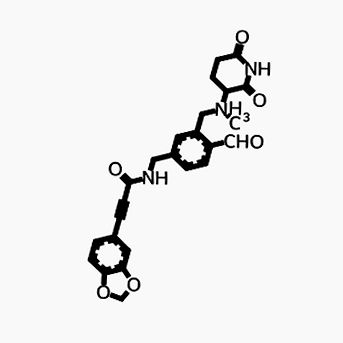 CN(Cc1cc(CNC(=O)C#Cc2ccc3c(c2)OCO3)ccc1C=O)C1CCC(=O)NC1=O